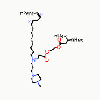 CCCCC/C=C\C/C=C\CCCCCCCCN(CCCN1CCN(C)CC1)CCC(=O)OCCOC(=O)CC(CCCCCC)CCCCCC